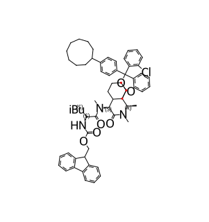 CC[C@H](C)[C@H](NC(=O)OCC1c2ccccc2-c2ccccc21)C(=O)N(C)[C@H](C(=O)N(C)[C@H](C)CC(=O)OC(c1ccccc1)(c1ccc(C2CCCCCCCC2)cc1)c1ccccc1Cl)C1CCCCC1